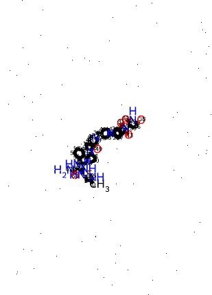 CC1CC(NC2NC(N3CCC[C@@H](N4CCC5(CCN(CC6CCN(c7ccc8c(c7)C(=O)N([C@H]7CCC(=O)NC7=O)C8=O)CC6)CC5)C4=O)C3)C(C3CCCCCC3)NC2C(N)=O)SN1